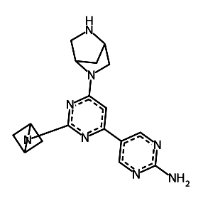 Nc1ncc(-c2cc(N3CC4CC3CN4)nc(N3CC4CC3C4)n2)cn1